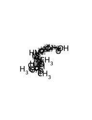 COc1cc(OC)c(Cl)c(NC(=O)N(C)c2cc(Nc3ccc(N4CCN(CCCC(=O)O)CC4)cc3)ncn2)c1Cl